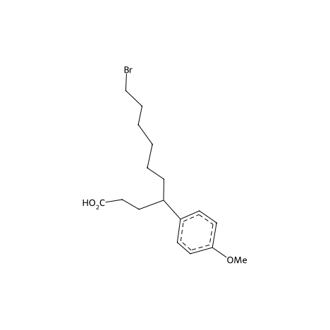 COc1ccc(C(CCCCCCBr)CCC(=O)O)cc1